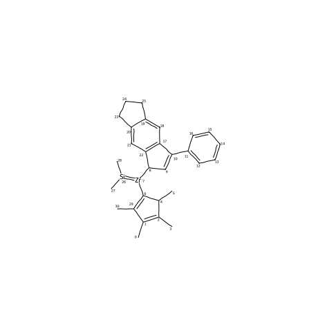 CC1=C(C)C(C)[C]([Zr]([CH]2C=C(c3ccccc3)c3cc4c(cc32)CCC4)=[Si](C)C)=C1C